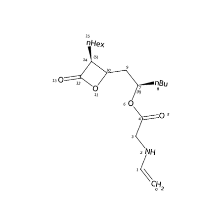 C=CNCC(=O)O[C@H](CCCC)CC1OC(=O)[C@H]1CCCCCC